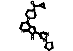 O=C(C1CC1)N1CCN(c2ccnc3[nH]c(-c4cnn(C5CCCC5)c4)cc23)CC1